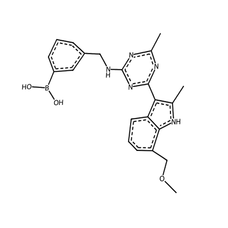 COCc1cccc2c(-c3nc(C)nc(NCc4cccc(B(O)O)c4)n3)c(C)[nH]c12